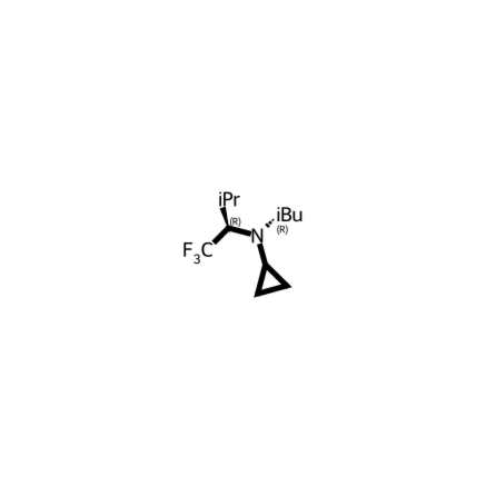 CC[C@@H](C)N(C1CC1)[C@H](C(C)C)C(F)(F)F